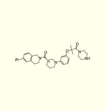 CC(C)c1ccc2c(c1)CCN(C(=O)[C@@H]1CCCN(c3cccc(OC(C)(C)C(=O)N4CCNCC4)c3)C1)C2